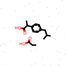 CC(C)Cc1ccc(C(C)C(=O)O)cc1.CCC(=O)O